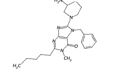 CCCCCc1nc2nc(N3CCCC(N)C3)n(Cc3ccccc3)c2c(=O)n1C